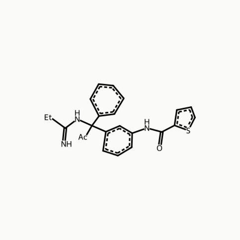 CCC(=N)NC(C(C)=O)(c1ccccc1)c1cccc(NC(=O)c2cccs2)c1